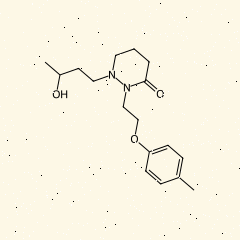 Cc1ccc(OCCN2C(=O)CCCN2CCC(C)O)cc1